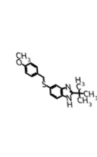 COc1ccc(CSc2ccc3[nH]c(C(C)(C)C)nc3c2)cc1